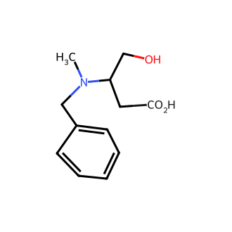 CN(Cc1ccccc1)C(CO)CC(=O)O